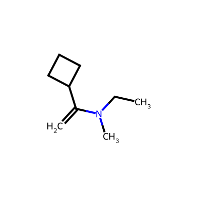 C=C(C1CCC1)N(C)CC